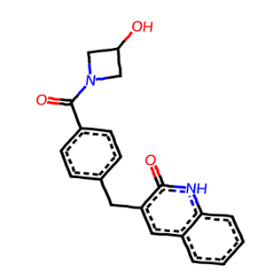 O=C(c1ccc(Cc2cc3ccccc3[nH]c2=O)cc1)N1CC(O)C1